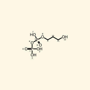 O=P(O)(O)OP(=O)(O)OCCCO